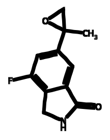 CC1(c2cc(F)c3c(c2)C(=O)NC3)CO1